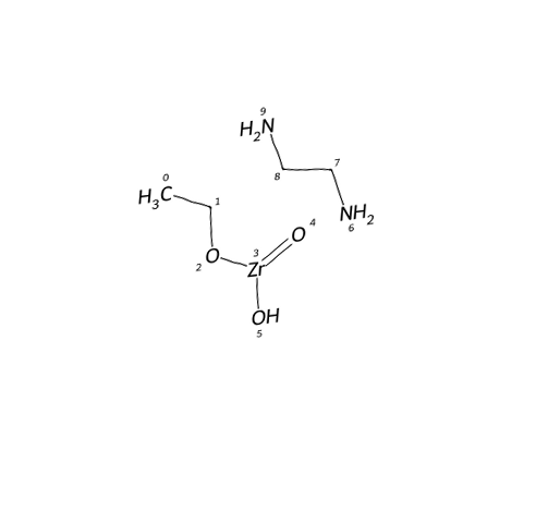 CC[O][Zr](=[O])[OH].NCCN